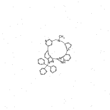 CN1Cc2cncc(c2)-c2ccc3c(c2)c(nn3C(c2ccccc2)(c2ccccc2)c2ccccc2)-c2nc3c(cccc3[nH]2)-c2cccc(c2)C1